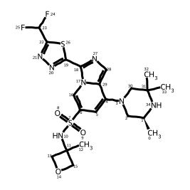 C[C@H]1CN(c2cc(S(=O)(=O)NC3(C)COC3)cn3c(-c4nnc(C(F)F)s4)ncc23)CC(C)(C)N1